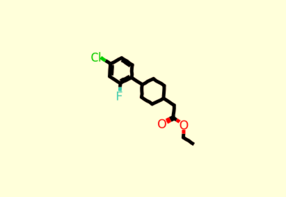 CCOC(=O)CC1CCC(c2ccc(Cl)cc2F)CC1